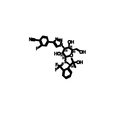 CC(C)(O)[C@H](S[C@@H]1O[C@H](CO)[C@H](O)[C@H](n2cc(-c3ccc(C#N)c(F)c3)nn2)[C@H]1O)c1ccccc1C(F)(F)F